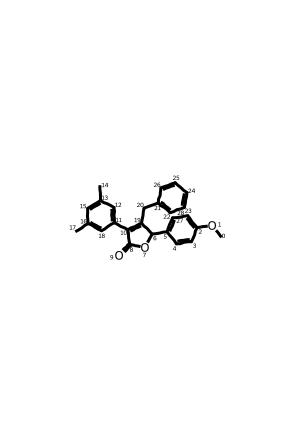 COc1ccc(C2OC(=O)C(c3cc(C)cc(C)c3)=C2Cc2ccccc2)cc1